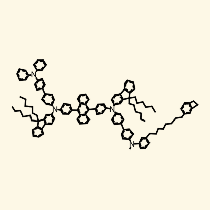 CCCCCCC1(CCCCCC)c2ccccc2-c2ccc(N(c3ccc(-c4ccc(N(C)c5cccc(CCCCCCCCc6ccc7c(c6)CC7)c5)cc4)cc3)c3ccc(-c4c5ccccc5c(-c5ccc(N(c6ccc(-c7ccc(N(c8ccccc8)c8ccccc8)cc7)cc6)c6ccc7c(c6)C(CCCCCC)(CCCCCC)c6ccccc6-7)cc5)c5ccccc45)cc3)cc21